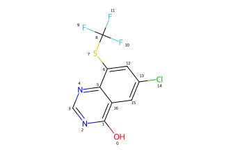 Oc1ncnc2c(SC(F)(F)F)cc(Cl)cc12